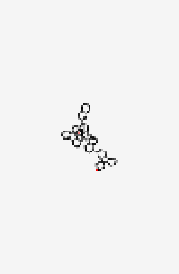 CC1(C)c2ccccc2-c2cccc(N(c3ccc(-c4ccc5ccccc5c4)cc3)c3cccc4c(-c5ccc6c(c5)C5(CC7CCC5C7)c5ccccc5-6)cccc34)c21